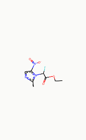 CCOC(=O)C(F)n1c([N+](=O)[O-])cnc1C